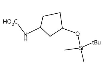 CC(C)(C)[Si](C)(C)OC1CCC(NC(=O)O)C1